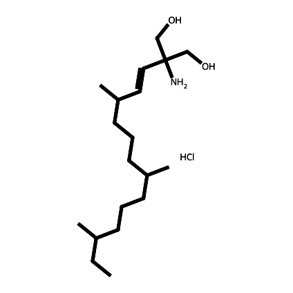 CCC(C)CCCC(C)CCCC(C)C=CC(N)(CO)CO.Cl